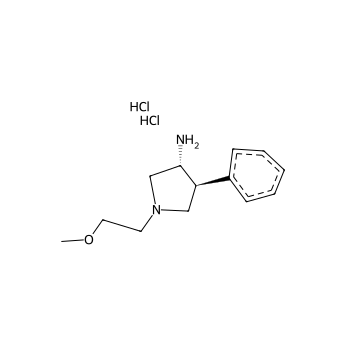 COCCN1C[C@H](c2ccccc2)[C@@H](N)C1.Cl.Cl